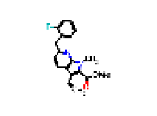 C=Cc1c(C(=O)OC)n(C)c2nc(Cc3ccccc3F)ccc12